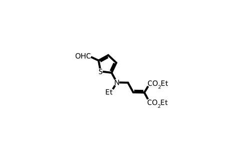 CCOC(=O)C(=CCN(CC)c1ccc(C=O)s1)C(=O)OCC